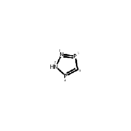 c1pn[nH]p1